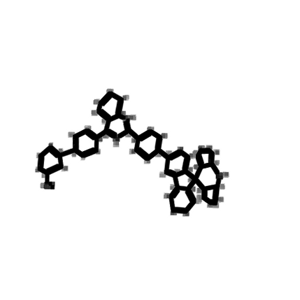 N#Cc1cccc(-c2ccc(-c3nc(-c4ccc(-c5ccc6c(c5)-c5ccccc5C65c6ccccc6Oc6ccccc65)cc4)nc4ccccc34)cc2)c1